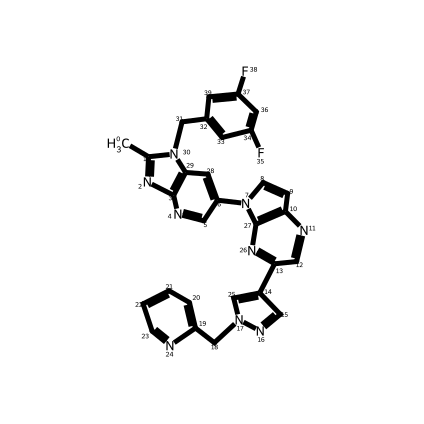 Cc1nc2ncc(-n3ccc4ncc(-c5cnn(Cc6ccccn6)c5)nc43)cc2n1Cc1cc(F)cc(F)c1